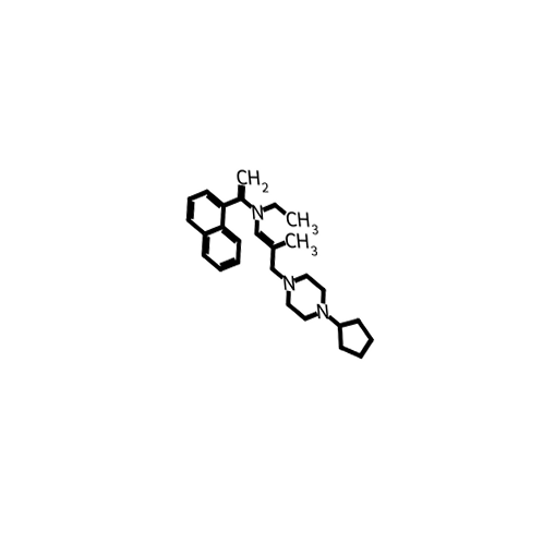 C=C(c1cccc2ccccc12)N(/C=C(\C)CN1CCN(C2CCCC2)CC1)CC